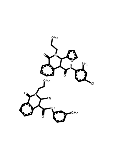 COCCN1C(=O)c2ccccc2C(C(=O)Nc2ccc(Cl)cc2N)C1c1cccs1.COCCN1C(=O)c2ccccc2C(C(=O)Nc2cccc(OC)c2)C1C#N